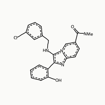 CNC(=O)c1ccc2nc(-c3ccccc3O)c(NCc3cccc(Cl)c3)n2c1